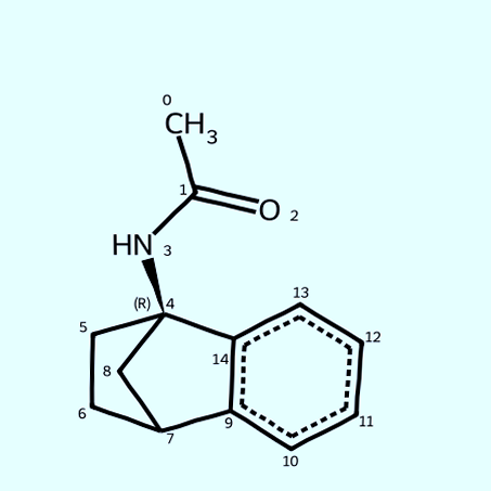 CC(=O)N[C@]12CCC(C1)c1ccccc12